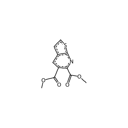 COC(=O)c1cc2ccsc2nc1C(=O)OC